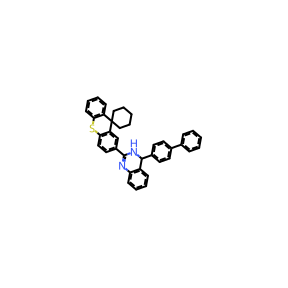 c1ccc(-c2ccc(C3NC(c4ccc5c(c4)C4(CCCCC4)c4ccccc4S5)=Nc4ccccc43)cc2)cc1